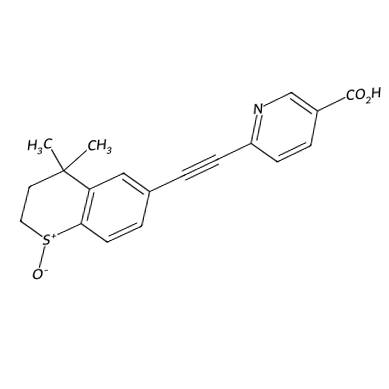 CC1(C)CC[S+]([O-])c2ccc(C#Cc3ccc(C(=O)O)cn3)cc21